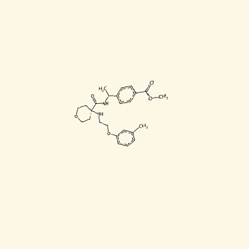 COC(=O)c1ccc(C(C)NC(=O)C2(NCCOc3cccc(C)c3)CCOCC2)cc1